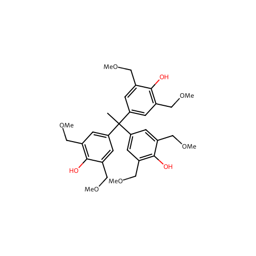 COCc1cc(C(C)(c2cc(COC)c(O)c(COC)c2)c2cc(COC)c(O)c(COC)c2)cc(COC)c1O